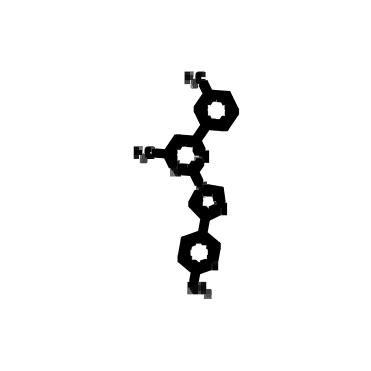 Nc1ccc(-c2cn(-c3nc(-c4cccc(C(F)(F)F)c4)cc(C(F)(F)F)n3)cn2)cn1